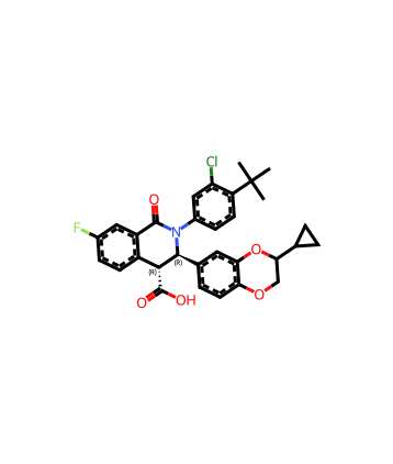 CC(C)(C)c1ccc(N2C(=O)c3cc(F)ccc3[C@@H](C(=O)O)[C@@H]2c2ccc3c(c2)OC(C2CC2)CO3)cc1Cl